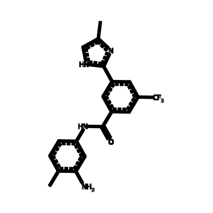 Cc1c[nH]c(-c2cc(C(=O)Nc3ccc(C)c(N)c3)cc(C(F)(F)F)c2)n1